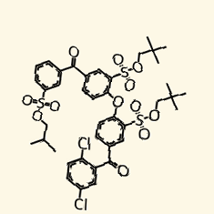 CC(C)COS(=O)(=O)c1cccc(C(=O)c2ccc(Oc3ccc(C(=O)c4cc(Cl)ccc4Cl)cc3S(=O)(=O)OCC(C)(C)C)c(S(=O)(=O)OCC(C)(C)C)c2)c1